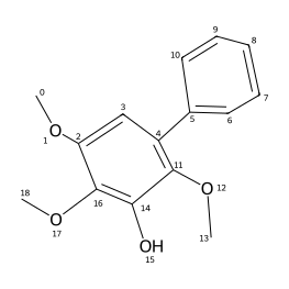 COc1cc(-c2ccccc2)c(OC)c(O)c1OC